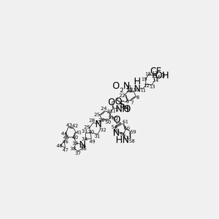 O=C(NS(=O)(=O)c1ccc(NCC2CCC(O)(C(F)(F)F)CC2)c([N+](=O)[O-])c1)c1ccc(N2CCC3(CC2)CC(N2CCC[C@H]2c2ccccc2C2CC2)C3)cc1Oc1cnc2[nH]ccc2c1